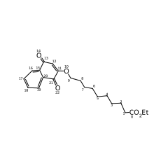 CCOC(=O)CCCCCCCCCOC1=CC(=O)c2ccccc2C1=O